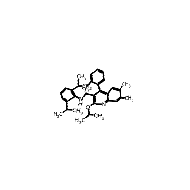 Cc1cc2nc(OC(C)C)c(C(=O)Nc3c(C(C)C)cccc3C(C)C)c(-c3ccccc3Cl)c2cc1C